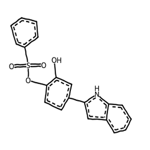 O=S(=O)(Oc1ccc(-c2cc3ccccc3[nH]2)cc1O)c1ccccc1